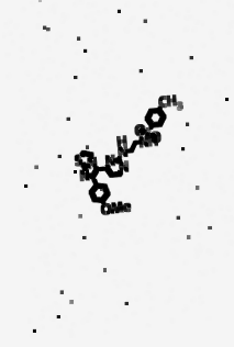 COc1ccc(-c2nc3sccn3c2-c2ccnc(NCCNS(=O)(=O)c3ccc(C)cc3)n2)cc1